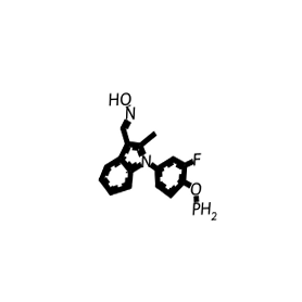 Cc1c(/C=N/O)c2ccccc2n1-c1ccc(OP)c(F)c1